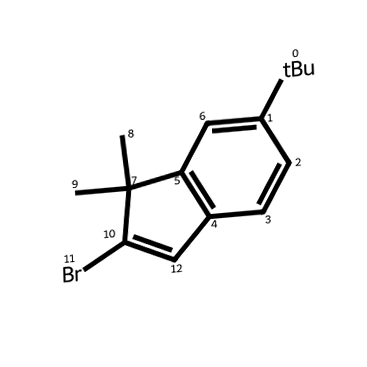 CC(C)(C)c1ccc2c(c1)C(C)(C)C(Br)=C2